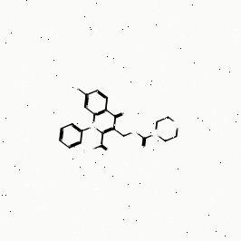 COC(=O)c1c(CNC(=O)N2CCOCC2)c(=O)c2ccc(Cl)cc2n1-c1ccccc1